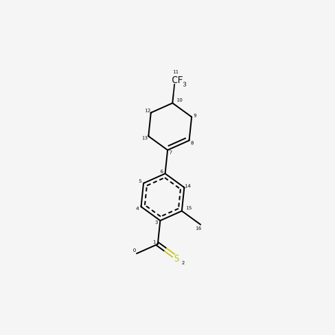 CC(=S)c1ccc(C2=CCC(C(F)(F)F)CC2)cc1C